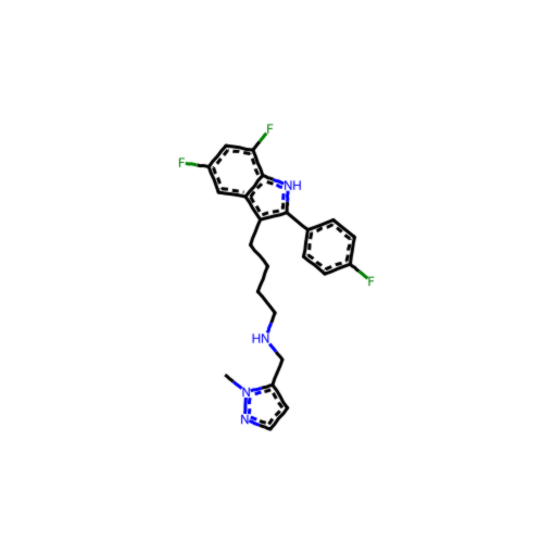 Cn1nccc1CNCCCCc1c(-c2ccc(F)cc2)[nH]c2c(F)cc(F)cc12